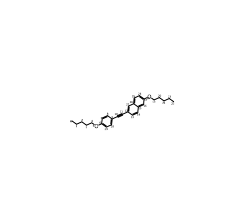 CCCCCOc1ccc(C#Cc2ccc3cc(OCCCCC)ccc3c2)cc1